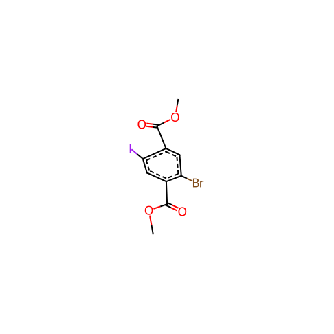 COC(=O)c1cc(I)c(C(=O)OC)cc1Br